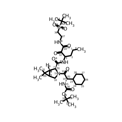 CCCC(NC(=O)[C@@H]1[C@@H]2C(CN1C(=O)[C@@H](NC(=O)OC(C)(C)C)C1CCCCC1)C2(C)C)C(=O)C(=O)NCCS(=O)(=O)C(C)(C)C